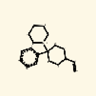 C=CC1CCC(c2ccccc2)(N2CCCCC2)CC1